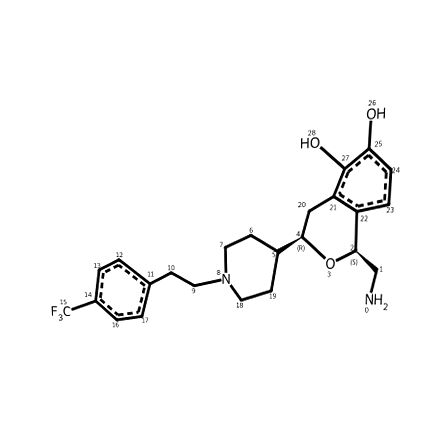 NC[C@H]1O[C@@H](C2CCN(CCc3ccc(C(F)(F)F)cc3)CC2)Cc2c1ccc(O)c2O